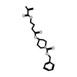 C=C(C)C(=O)OCCCC(=O)OC1CCN(C(=O)OCc2ccccc2)CC1